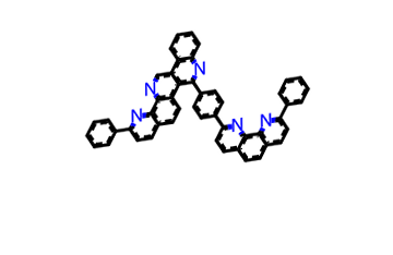 c1ccc(-c2ccc3ccc4ccc(-c5ccc(-c6nc7ccccc7c7cnc8c(ccc9ccc(-c%10ccccc%10)nc98)c67)cc5)nc4c3n2)cc1